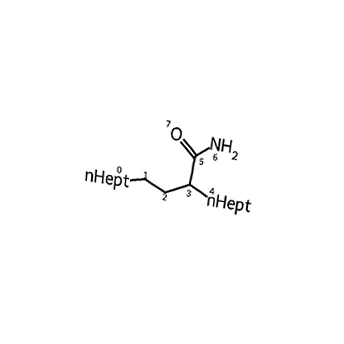 CCCCCCCCCC(CCCCCCC)C(N)=O